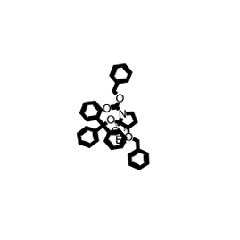 CCO[C@@]1(OC(c2ccccc2)(c2ccccc2)c2ccccc2)[C@H](OCc2ccccc2)CCN1C(=O)OCc1ccccc1